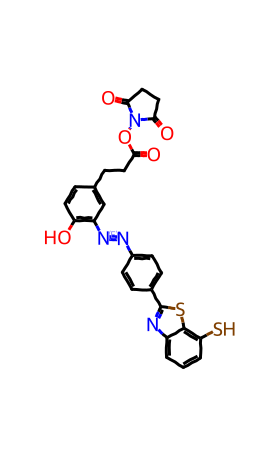 O=C(CCc1ccc(O)c(/N=N/c2ccc(-c3nc4cccc(S)c4s3)cc2)c1)ON1C(=O)CCC1=O